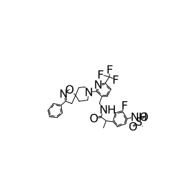 CC(C(=O)NCc1ccc(C(F)(F)F)nc1N1CCC2(CC1)CC(c1ccccc1)=NO2)c1ccc(NS(C)(=O)=O)c(F)c1